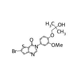 COc1cc(-n2cnc3cc(Br)sc3c2=O)ccc1OCC(C)(C)O